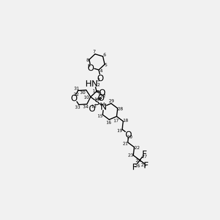 O=C(NOC1CCCCO1)C1(S(=O)(=O)N2CCC(CCOCCCC(F)(F)F)CC2)CCOCC1